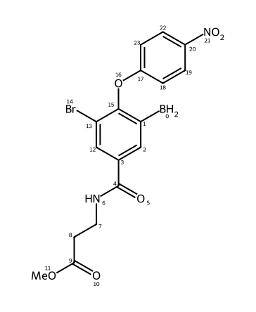 Bc1cc(C(=O)NCCC(=O)OC)cc(Br)c1Oc1ccc([N+](=O)[O-])cc1